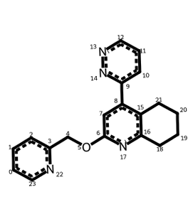 c1ccc(COc2cc(-c3cccnn3)c3c(n2)CCCC3)nc1